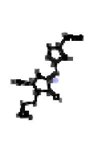 C=CCN1C(=O)/C(=C/c2ccc(CCCCC)o2)SC1=S